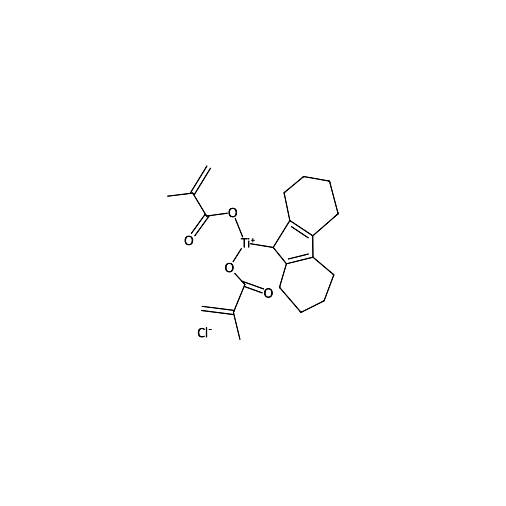 C=C(C)C(=O)[O][Ti+]([O]C(=O)C(=C)C)[CH]1C2=C(CCCC2)C2=C1CCCC2.[Cl-]